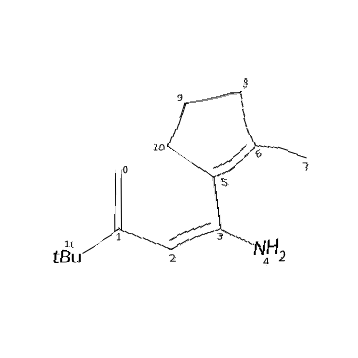 C=C(/C=C(/N)C1=C(C)CCC1)C(C)(C)C